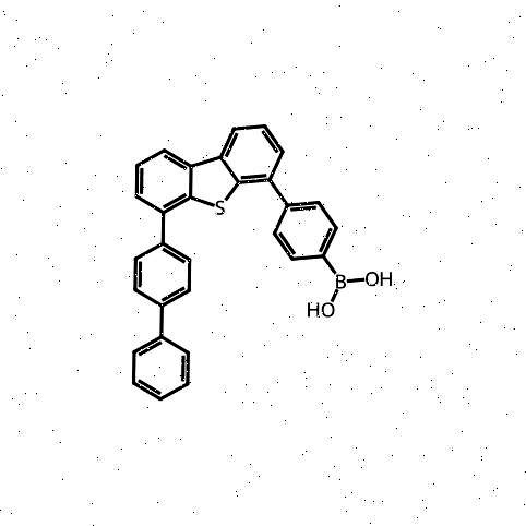 OB(O)c1ccc(-c2cccc3c2sc2c(-c4ccc(-c5ccccc5)cc4)cccc23)cc1